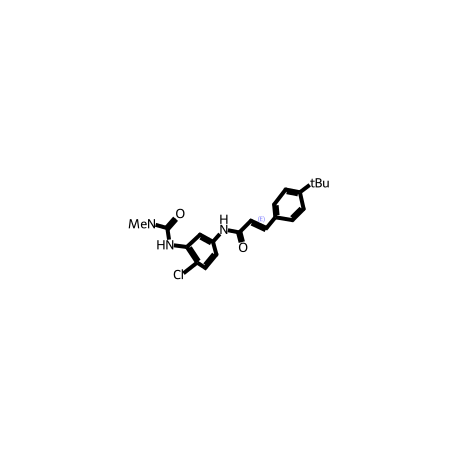 CNC(=O)Nc1cc(NC(=O)/C=C/c2ccc(C(C)(C)C)cc2)ccc1Cl